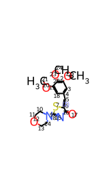 COc1cc(/C=C2\SC(N3CCOCC3)=NC2=O)cc(OC)c1OC